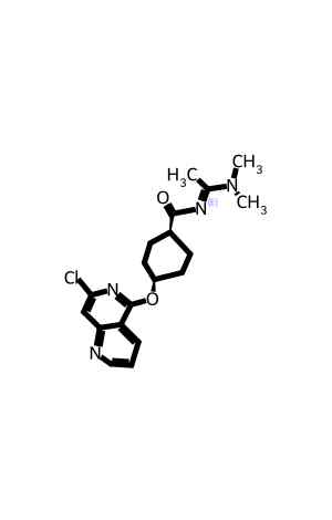 C/C(=N\C(=O)[C@H]1CC[C@@H](Oc2nc(Cl)cc3ncccc23)CC1)N(C)C